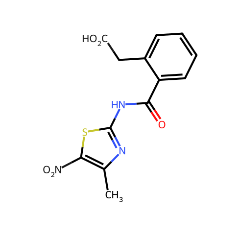 Cc1nc(NC(=O)c2ccccc2CC(=O)O)sc1[N+](=O)[O-]